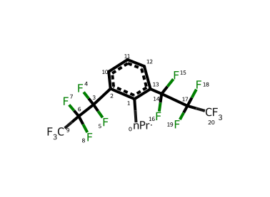 CC[CH]c1c(C(F)(F)C(F)(F)C(F)(F)F)cccc1C(F)(F)C(F)(F)C(F)(F)F